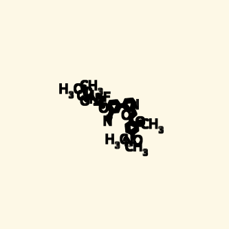 COc1cc(C(=O)N(C)C)ccc1-c1cc2nccc(-c3ccc(OC4CN(C(=O)OC(C)(C)C)CC4F)c(C#N)c3)c2o1